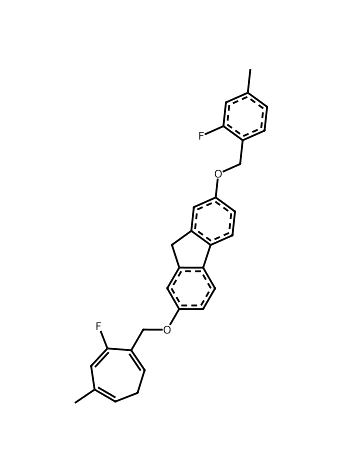 CC1=CCC=C(COc2ccc3c(c2)Cc2cc(OCc4ccc(C)cc4F)ccc2-3)C(F)=C1